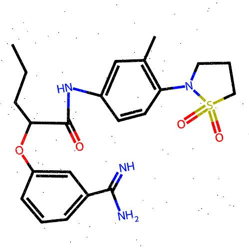 CCCC(Oc1cccc(C(=N)N)c1)C(=O)Nc1ccc(N2CCCS2(=O)=O)c(C)c1